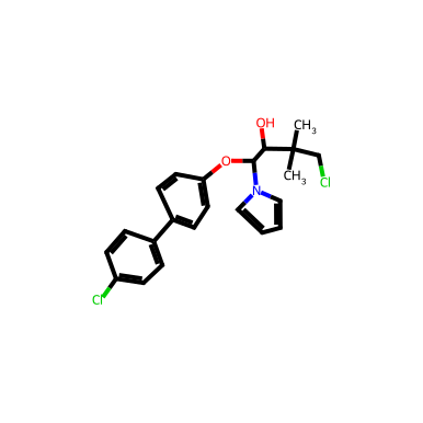 CC(C)(CCl)C(O)C(Oc1ccc(-c2ccc(Cl)cc2)cc1)n1cccc1